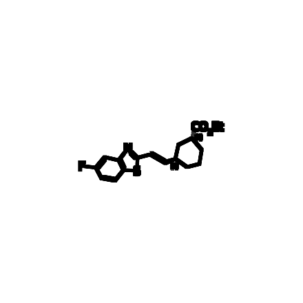 CCOC(=O)[C@@H]1CCC[C@@H](C=Cc2nc3cc(F)ccc3s2)C1